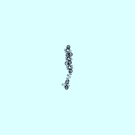 CCC1(COCCCCCCOc2ccc(C(=O)Oc3ccc(OC(=O)C4CCC5OC5C4)cc3)cc2)COC1